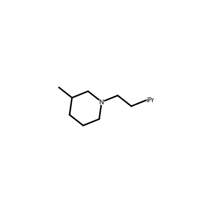 CC(C)CCN1CCCC(C)C1